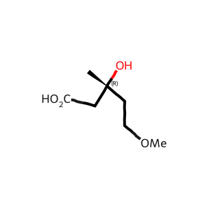 COCC[C@@](C)(O)CC(=O)O